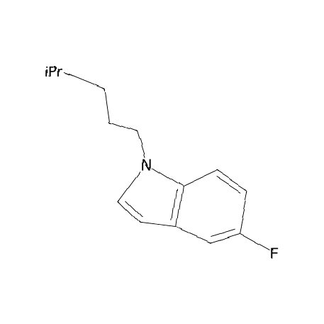 CC(C)CCCn1ccc2cc(F)ccc21